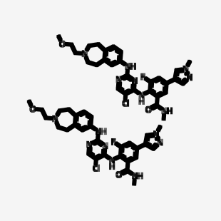 CNC(=O)c1cc(-c2cnn(C)c2)cc(F)c1Nc1nc(Nc2ccc3c(c2)CCN(CCOC)CC3)ncc1Cl.CNC(=O)c1cc(-c2cnn(C)c2)cc(F)c1Nc1nc(Nc2ccc3c(c2)CCN(CCOC)CC3)ncc1Cl